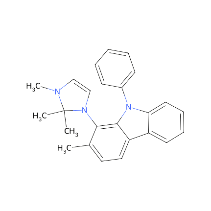 Cc1ccc2c3ccccc3n(-c3ccccc3)c2c1N1C=CN(C)C1(C)C